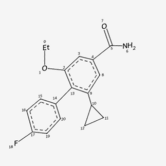 CCOc1cc(C(N)=O)cc(C2CC2)c1-c1ccc(F)cc1